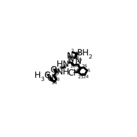 Bc1cnn2c(NCCNC(=O)c3cccn3C)cc(C3=C(Cl)C=CCC3)nc12